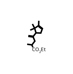 C=C(CC(C)C(=O)OCC)C1CC=C(C)C1(C)C